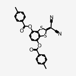 Cc1ccc(C(=O)Oc2ccc(OC(=O)c3ccc(C)cc3)c3c2SC(=C(C#N)C#N)S3)cc1